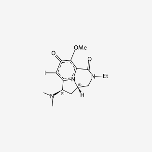 CCN1C[C@@H]2C[C@@H](N(C)C)c3c(I)c(=O)c(OC)c(n32)C1=O